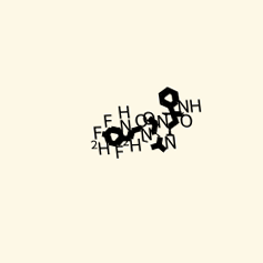 [2H]c1c(F)c(F)c2[nH]c(C(=O)N(C)[C@@H](CC(C)C)C(=O)N3C[C@]4(C[C@H]3C#N)C(=O)Nc3ccccc34)c([2H])c2c1F